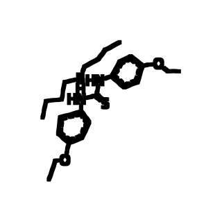 CCCCBCCCC.CCOc1ccc(NC(=S)Nc2ccc(OCC)cc2)cc1